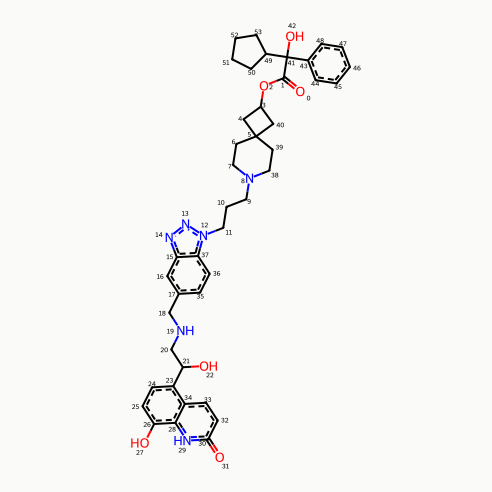 O=C(OC1CC2(CCN(CCCn3nnc4cc(CNCC(O)c5ccc(O)c6[nH]c(=O)ccc56)ccc43)CC2)C1)C(O)(c1ccccc1)C1CCCC1